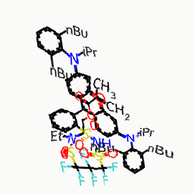 C=C(C)C(=O)OCCN(CC)S(=O)(=O)C(F)(F)C(F)(F)C(F)(F)S(=O)(=O)NS(=O)(=O)c1ccccc1-c1c2cc/c(=[N+](\c3c(CCCC)cccc3CCCC)C(C)C)cc-2oc2cc(N(c3c(CCCC)cccc3CCCC)C(C)C)ccc12